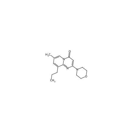 CCCc1cc(C)cn2c(=O)cc(N3CCOCC3)nc12